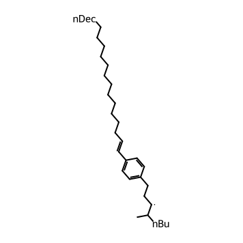 CCCCCCCCCCCCCCCCCCCCCCC=Cc1ccc(CC[CH]C(C)CCCC)cc1